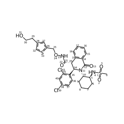 CS(=O)(=O)N[C@H]1CCCC[C@@H]1N1C(=O)c2ccccc2[C@@H](C(=O)NOCc2cc(CCO)cs2)[C@@H]1c1ccc(Cl)cc1Cl